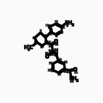 CC1CCC(c2ccc(N)cn2)N(C(=O)C(=O)Nc2cncc(C(N)=O)c2)C1